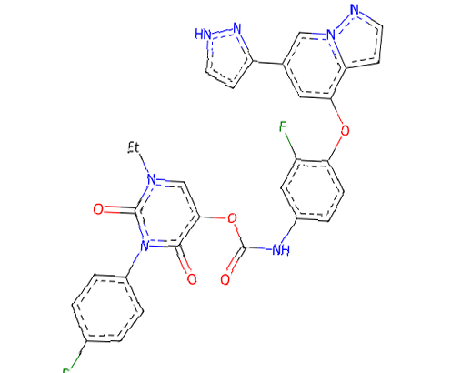 CCn1cc(OC(=O)Nc2ccc(Oc3cc(-c4cc[nH]n4)cn4nccc34)c(F)c2)c(=O)n(-c2ccc(F)cc2)c1=O